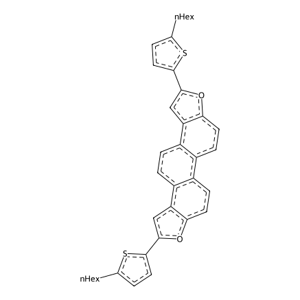 CCCCCCc1ccc(-c2cc3c(ccc4c3ccc3c5cc(-c6ccc(CCCCCC)s6)oc5ccc34)o2)s1